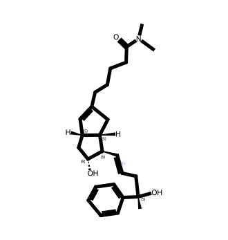 CN(C)C(=O)CCCCC1=C[C@H]2C[C@@H](O)[C@H](/C=C/C[C@](C)(O)c3ccccc3)[C@H]2C1